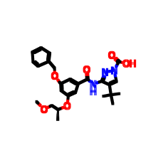 COC[C@H](C)Oc1cc(OCc2ccccc2)cc(C(=O)Nc2nn(C(=O)O)cc2C(C)(C)C)c1